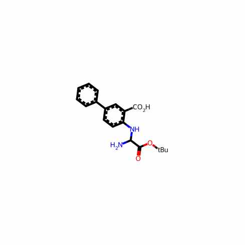 CC(C)(C)OC(=O)C(N)Nc1ccc(-c2ccccc2)cc1C(=O)O